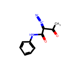 CC(=O)C(=[N+]=[N-])C(=O)Nc1ccccc1